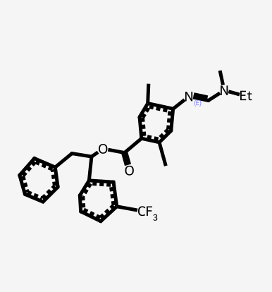 CCN(C)/C=N/c1cc(C)c(C(=O)OC(Cc2ccccc2)c2cccc(C(F)(F)F)c2)cc1C